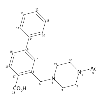 CC(=O)N1CCN(Cc2cc(-c3ccccc3)ccc2C(=O)O)CC1